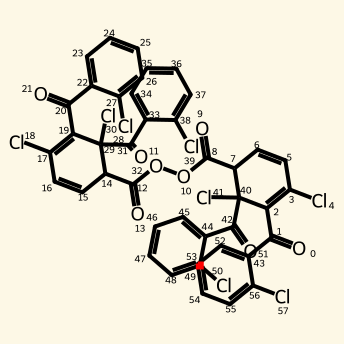 O=C(C1=C(Cl)C=CC(C(=O)OOC(=O)C2C=CC(Cl)=C(C(=O)c3ccccc3Cl)C2(Cl)C(=O)c2ccccc2Cl)C1(Cl)C(=O)c1ccccc1Cl)c1ccccc1Cl